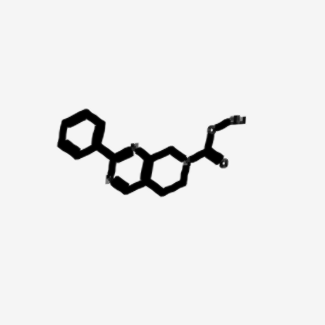 CC(C)(C)OC(=O)N1CCc2cnc(-c3ccccc3)nc2C1